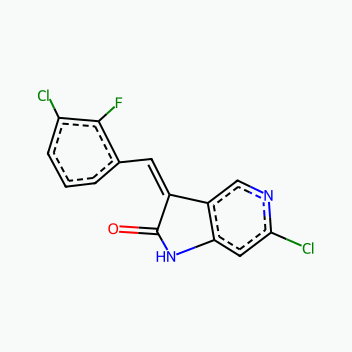 O=C1Nc2cc(Cl)ncc2C1=Cc1cccc(Cl)c1F